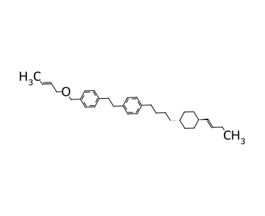 CC=CCOCc1ccc(CCc2ccc(CCCC[C@H]3CC[C@H](C=CCC)CC3)cc2)cc1